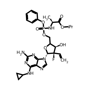 C=C[C@@]1(F)[C@H](O)C(COP(=O)(N[C@@H](C)C(=O)OC(C)C)Oc2ccccc2)O[C@H]1n1cnc2c(NC3CC3)nc(N)nc21